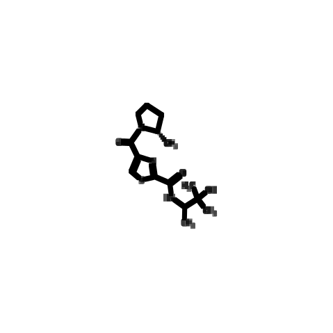 CC(NC(=O)c1nc(C(=O)N2CCC[C@@H]2C)cs1)C(C)(C)O